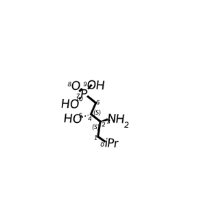 CC(C)C[C@H](N)[C@H](O)CP(=O)(O)O